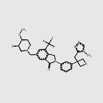 COC1CCN(Cc2cc3c(c(C(F)(F)F)c2)CN(c2cccc(C4(Cc5nncn5C)COC4)c2)C3=O)CC1F